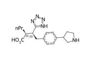 CCC[C@H](C(=O)O)[C@H](Cc1ccc(C2CCNC2)cc1)c1nnn[nH]1